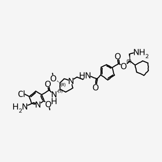 COc1nc(N)c(Cl)cc1C(=O)N[C@H]1CCN(CCNC(=O)c2ccc(C(=O)O[C@@H](CN)C3CCCCC3)cc2)C[C@H]1OC